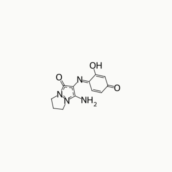 Nc1c(N=C2C=CC(=O)C=C2O)c(=O)n2n1CCC2